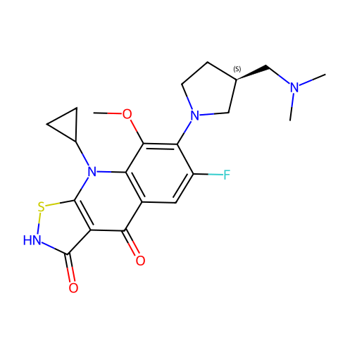 COc1c(N2CC[C@@H](CN(C)C)C2)c(F)cc2c(=O)c3c(=O)[nH]sc3n(C3CC3)c12